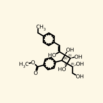 CCc1ccc(C=C(O)[C@@]2(O)C(c3ccc(C(=O)OC)cc3)[C@@](O)([C@H](O)CO)[C@@H]2O)cc1